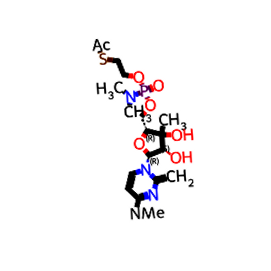 C=C1N=C(NC)C=CN1[C@@H]1O[C@H](COP(=O)(OCCSC(C)=O)N(C)C)C(C)(O)[C@@H]1O